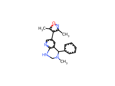 Cc1noc(C)c1-c1cnc2c(c1)C(c1ccccc1)N(C)CN2